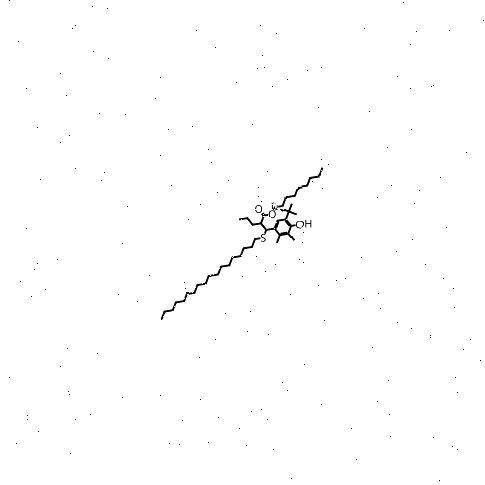 CCCCCCCCCCCCCCCCCCSC(c1cc(C(C)(C)C)c(O)c(C)c1C)C(CCC)C(=O)OOCCCCCCCC